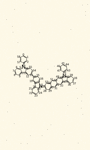 c1ccc(-n2c3ccccc3c3cc(-c4ccc5c(c4)c4ccccc4n5-c4ccc5cc6cc7c8ccccc8n(-c8ccccc8)c7cc6cc5c4)ccc32)cc1